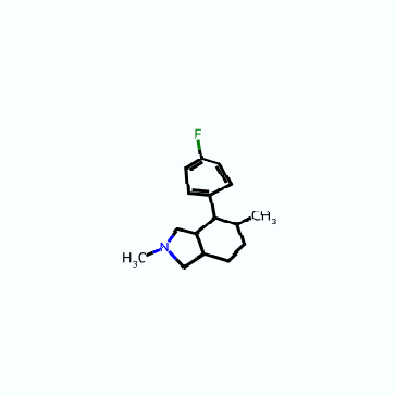 CC1CCC2CN(C)CC2C1c1ccc(F)cc1